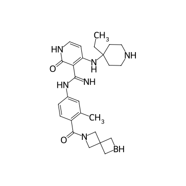 CCC1(Nc2cc[nH]c(=O)c2C(=N)Nc2ccc(C(=O)N3CC4(CBC4)C3)c(C)c2)CCNCC1